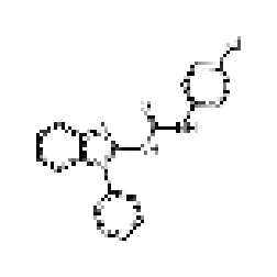 O=C(Nc1ccc(Cl)cc1)Nc1nc2ccccc2n1-c1ccccc1